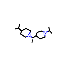 CC(C)C1CCN([C@H](C)C2CCN(C(C)C)CC2)CC1